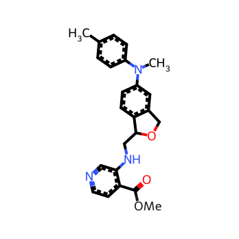 COC(=O)c1ccncc1NCC1OCc2cc(N(C)c3ccc(C)cc3)ccc21